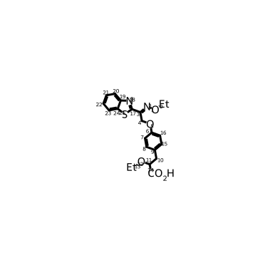 CCON=C(COc1ccc(CC(OCC)C(=O)O)cc1)c1nc2ccccc2s1